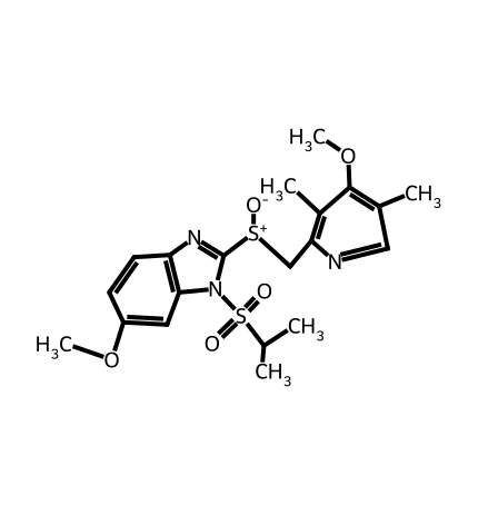 COc1ccc2nc([S+]([O-])Cc3ncc(C)c(OC)c3C)n(S(=O)(=O)C(C)C)c2c1